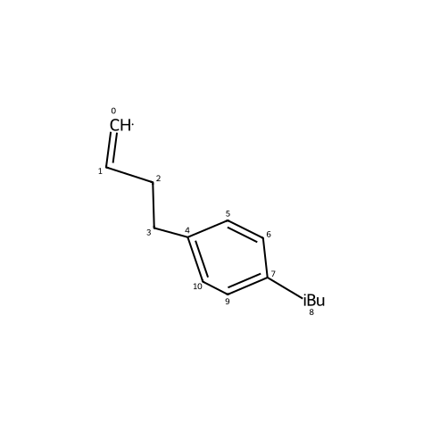 [CH]=CCCc1ccc(C(C)CC)cc1